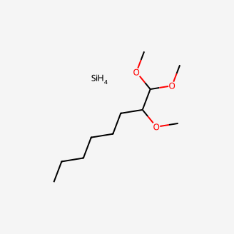 CCCCCCC(OC)C(OC)OC.[SiH4]